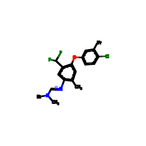 CCN(C)/C=N/c1cc(C(F)F)c(Oc2ccc(Cl)c(C(C)C)c2)cc1C